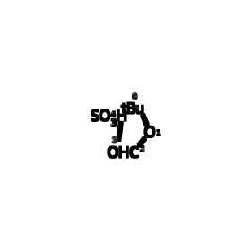 CC(C)(C)OC=O.CS(=O)(=O)O